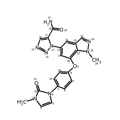 Cn1ccn(-c2ccc(Oc3cc(-n4nncc4C(N)=O)cc4cnn(C)c34)cc2)c1=O